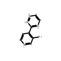 Fc1cnccc1-c1nccnn1